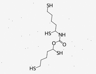 O=C(NC(S)CCCCS)OC(S)CCCCS